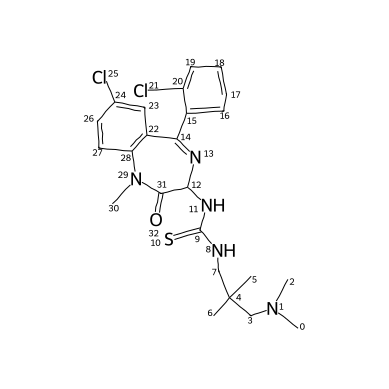 CN(C)CC(C)(C)CNC(=S)NC1N=C(c2ccccc2Cl)c2cc(Cl)ccc2N(C)C1=O